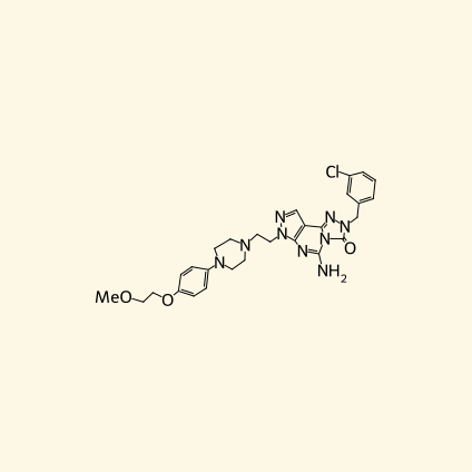 COCCOc1ccc(N2CCN(CCn3ncc4c3nc(N)n3c(=O)n(Cc5cccc(Cl)c5)nc43)CC2)cc1